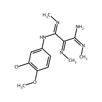 C/N=C(Nc1ccc(OC)c(Cl)c1)/C(=N/C)C(/N)=N\C